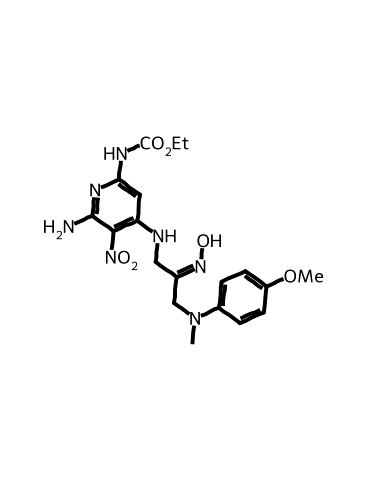 CCOC(=O)Nc1cc(NCC(CN(C)c2ccc(OC)cc2)=NO)c([N+](=O)[O-])c(N)n1